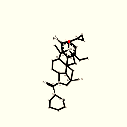 CCc1ccc(O)cc1C12CCN(CC3CC3)C(C)C13CCC1C2[C@@H](CN1C(=O)[C@@H]1CCCCN1)C3